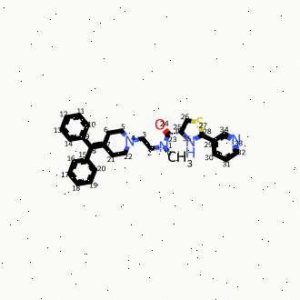 CN(CCN1CCC(=C(c2ccccc2)c2ccccc2)CC1)C(=O)[C@@H]1CSC(c2cccnc2)N1